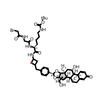 CC(C)(C)OC(=O)NCCCC[C@H](NC(=O)CNC(=O)CBr)C(=O)NC12CC(Cc3ccc([C@@H]4O[C@@H]5C[C@H]6[C@@H]7CCC8=CC(=O)C=C[C@]8(C)[C@H]7[C@@H](O)C[C@]6(C)[C@]5(C(=O)CO)O4)cc3)(C1)C2